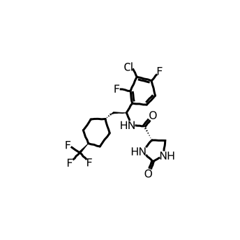 O=C1NC[C@@H](C(=O)N[C@@H](C[C@H]2CC[C@H](C(F)(F)F)CC2)c2ccc(F)c(Cl)c2F)N1